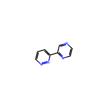 [c]1cnc(-c2cc[c]nn2)cn1